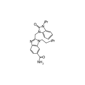 CC(C)CCn1c(Cn2c(=O)n(C(C)C)c3ccccc32)nc2ccc(C(N)=O)cc21